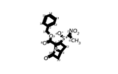 CC([N+](=O)[O-])[S+]([O-])C1=C(C(=O)OCc2ccccc2)N2C(=O)CC2C1